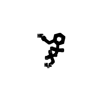 C#CCc1ccccc1S(=O)(=O)OS(=O)(=O)CC